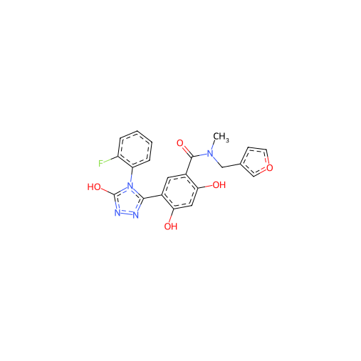 CN(Cc1ccoc1)C(=O)c1cc(-c2nnc(O)n2-c2ccccc2F)c(O)cc1O